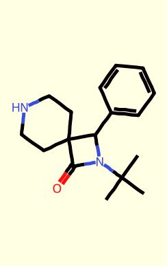 CC(C)(C)N1C(=O)C2(CCNCC2)C1c1ccccc1